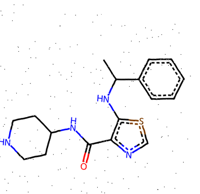 CC(Nc1scnc1C(=O)NC1CCNCC1)c1ccccc1